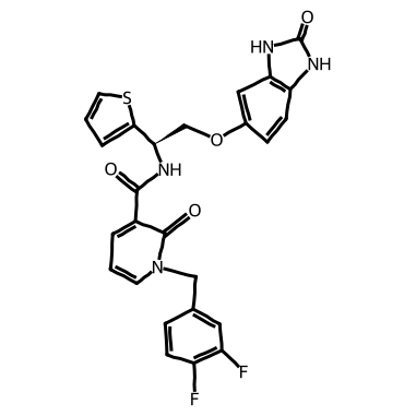 O=C(N[C@H](COc1ccc2[nH]c(=O)[nH]c2c1)c1cccs1)c1cccn(Cc2ccc(F)c(F)c2)c1=O